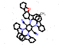 Cc1ccc2c(c1)c1c3oc4ccccc4c3ccc1n2-c1c(C#N)c(-n2c3ccccc3c3ccccc32)c(-n2c3ccccc3c3ccccc32)c(C#N)c1-n1c2ccccc2c2ccccc21